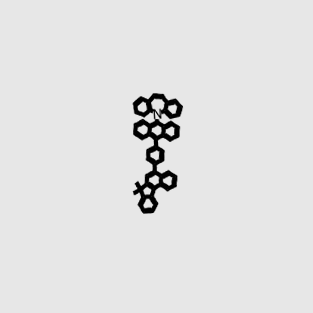 CC1(C)c2ccccc2-c2c1cc(-c1ccc(-c3c4ccccc4c(N4C5=C(C=CCC5)C=Cc5ccccc54)c4ccccc34)cc1)c1ccccc21